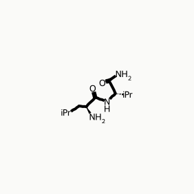 CC(C)C[C@H](N)C(=O)N[C@H](C(N)=O)C(C)C